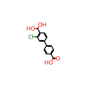 O=C(O)c1ccc(-c2ccc(C(O)O)c(Cl)c2)cc1